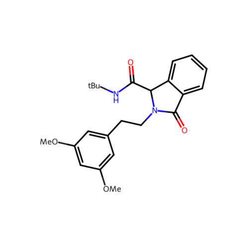 COc1cc(CCN2C(=O)c3ccccc3C2C(=O)NC(C)(C)C)cc(OC)c1